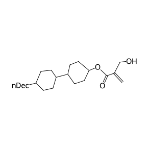 C=C(CO)C(=O)OC1CCC(C2CCC(CCCCCCCCCC)CC2)CC1